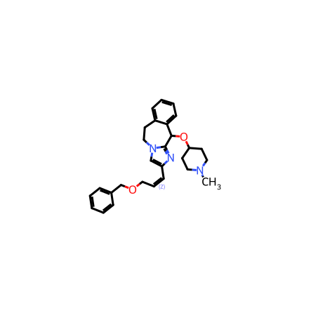 CN1CCC(OC2c3ccccc3CCn3cc(/C=C\COCc4ccccc4)nc32)CC1